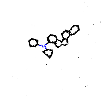 c1ccc(N(c2ccccc2)c2cccc3c2ccc2ccc4c5ccccc5ccc4c23)cc1